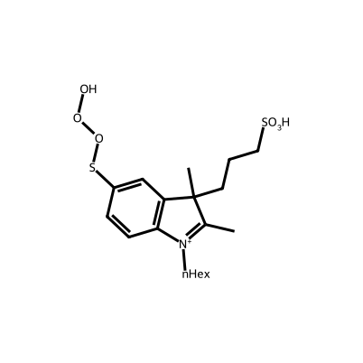 CCCCCC[N+]1=C(C)C(C)(CCCS(=O)(=O)O)c2cc(SOOO)ccc21